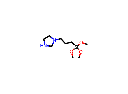 CO[Si](CCCN1CCNC1)(OC)OC